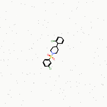 O=S(=O)(c1cccc(Cl)c1)N1CCC(C2C=CCC=C2Cl)CC1